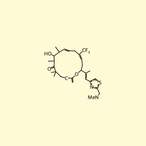 C=C1CCC(C)(C)C(=O)C(C)C(O)C(C)/C=C/C/C(C(F)(F)F)=C\CC(/C(C)=C/c2csc(CNC)n2)O1